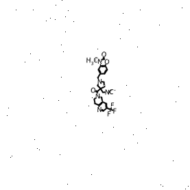 [C-]#[N+]CC1(C(=O)N2CCc3ncc(C(F)(F)F)cc3C2)CCN(Cc2ccc3oc(=O)n(C)c3c2)C1